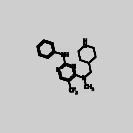 CN(CC1CCNCC1)c1nc(Nc2ccccc2)ncc1C(F)(F)F